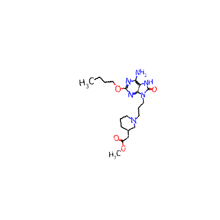 CCCCOc1nc(N)c2[nH]c(=O)n(CCCN3CCCC(CC(=O)OC)C3)c2n1